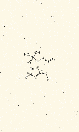 C=CCOP(=O)(O)O.CC[n+]1ccn(C)c1